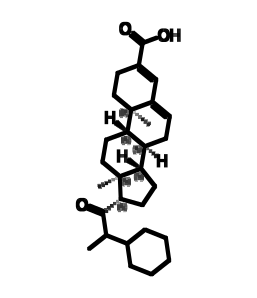 CC(C(=O)[C@H]1CC[C@H]2[C@@H]3CC=C4C=C(C(=O)O)CC[C@]4(C)[C@H]3CC[C@]12C)C1CCCCC1